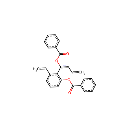 C=C/C=C(/OC(=O)c1ccccc1)c1c(C=C)cccc1OC(=O)c1ccccc1